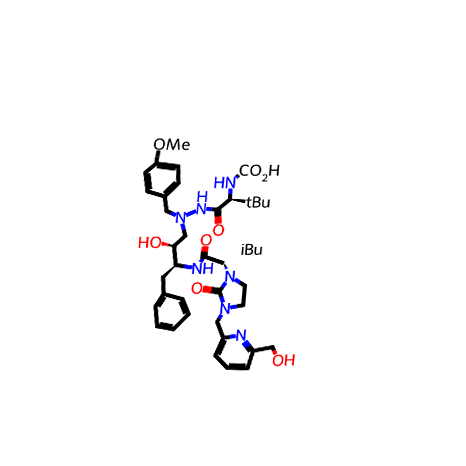 CC[C@H](C)[C@@H](C(=O)N[C@@H](Cc1ccccc1)[C@@H](O)CN(Cc1ccc(OC)cc1)NC(=O)[C@@H](NC(=O)O)C(C)(C)C)N1CCN(Cc2cccc(CO)n2)C1=O